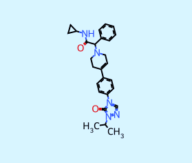 CC(C)n1ncn(-c2ccc(C3=CCN(C(C(=O)NC4CC4)c4ccccc4)CC3)cc2)c1=O